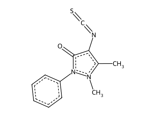 Cc1c(N=C=S)c(=O)n(-c2ccccc2)n1C